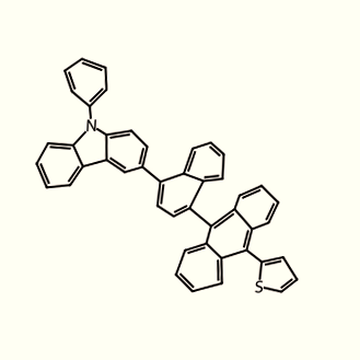 c1ccc(-n2c3ccccc3c3cc(-c4ccc(-c5c6ccccc6c(-c6cccs6)c6ccccc56)c5ccccc45)ccc32)cc1